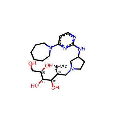 CC(=O)N[C@@H](CN1CCC(Nc2nccc(N3CCCCCC3)n2)C1)[C@@H](O)[C@@H](O)[C@H](O)CO